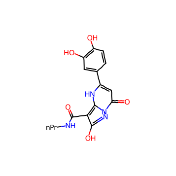 CCCNC(=O)c1c(O)nn2c(=O)cc(-c3ccc(O)c(O)c3)[nH]c12